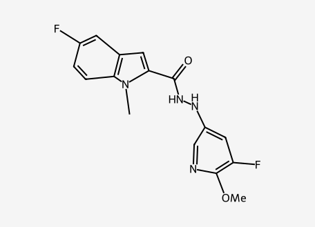 COc1ncc(NNC(=O)c2cc3cc(F)ccc3n2C)cc1F